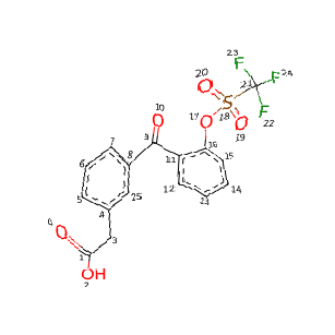 O=C(O)Cc1cccc(C(=O)c2ccccc2OS(=O)(=O)C(F)(F)F)c1